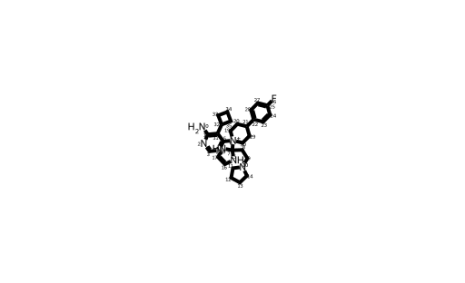 Nc1ncnc([N+]2(C3(CCN4CCCC4)NC=CN3)CCC(c3ccc(F)cc3)CC2)c1C1CCC1